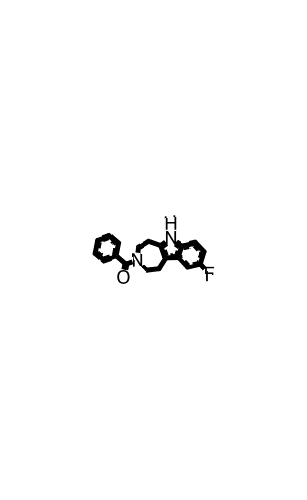 O=C(c1ccccc1)N1CCc2[nH]c3ccc(F)cc3c2CC1